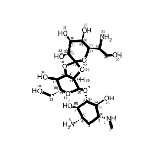 CN[C@@H]1C[C@H](N)[C@@H](O)[C@H](OC2O[C@H](CO)C(O)C3OC4(O[C@@H]23)O[C@H](C(N)CO)[C@H](O)[C@H](O)[C@H]4O)[C@H]1O